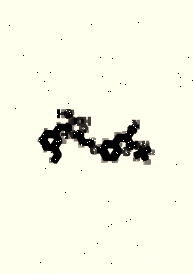 CCc1cccc(CC(NC(=O)CCOc2cccc(C=C(C#N)C(=O)NC(C)(C)C)c2)B(O)O)c1